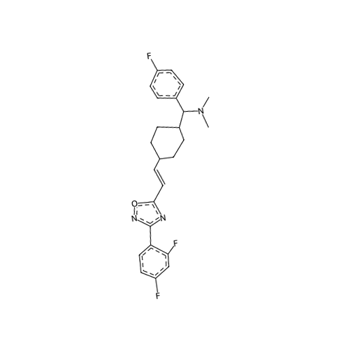 CN(C)C(c1ccc(F)cc1)C1CCC(/C=C/c2nc(-c3ccc(F)cc3F)no2)CC1